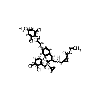 CCOC(=O)C1CC1CNCC(Cc1ccc(OCCOc2c(Cl)cc(C)cc2Cl)cc1)C(=O)N(Cc1cccc(Cl)c1Cl)C1CC1